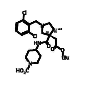 C[C@H]1CN(Cc2c(Cl)cccc2Cl)C[C@@]1(CC(=O)OC(C)(C)C)C(=O)NC1CCN(C(=O)O)CC1